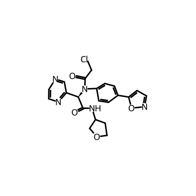 O=C(NC1CCOC1)[C@@H](c1cnccn1)N(C(=O)CCl)c1ccc(-c2ccno2)cc1